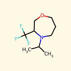 CC(C)N1CCCOCC1C(F)(F)F